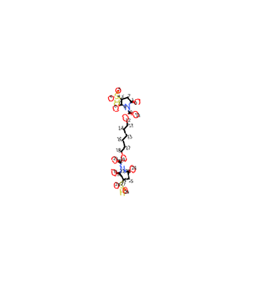 O=C1CC([SH](=O)=O)C(=O)N1C(=O)OCCCCCCOC(=O)N1C(=O)CC([SH](=O)=O)C1=O